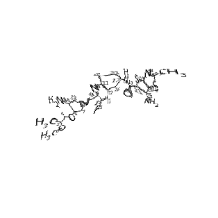 COC(C)COC1CN(c2nc3c(cc2F)CC(NC(=O)c2sc4nc(C)sc4c2N)CC3)CC1N